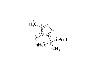 CCCCCCC(C)(CCCCC)c1ccc(C)n1C